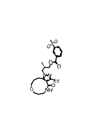 CCc1nn(C[C@@H](C)COC(=O)c2cccc(S(C)(=O)=O)c2)c2c1C(=O)NCCCOCCC2